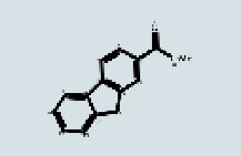 COC(=O)c1[c]c2c(cc1)-c1ccccc1C2